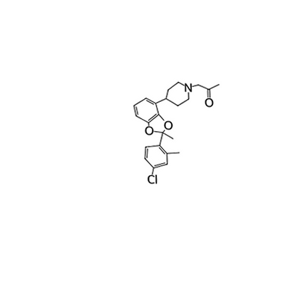 CC(=O)CN1CCC(c2cccc3c2OC(C)(c2ccc(Cl)cc2C)O3)CC1